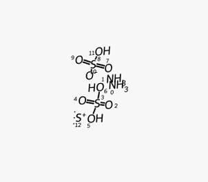 N.N.O=S(=O)(O)O.O=S(=O)([O-])O.[S+]